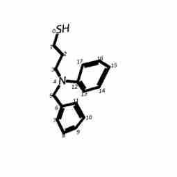 SCCCN(Cc1ccccc1)c1ccccc1